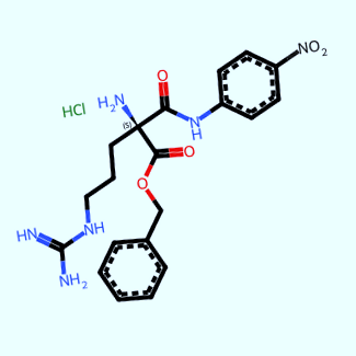 Cl.N=C(N)NCCC[C@](N)(C(=O)Nc1ccc([N+](=O)[O-])cc1)C(=O)OCc1ccccc1